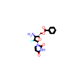 NC1C(F)[C@@H](n2ccc(=O)[nH]c2=O)O[C@H]1COC(=O)c1ccccc1